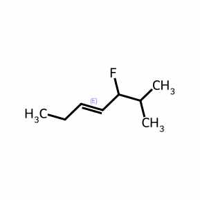 CC/C=C/C(F)C(C)C